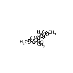 Cc1cc(C)c(-c2ccc(C3=C4C(=O)N(C)C(c5ccc(-c6oc(C)cc6C)s5)=C4C(=O)N3C)s2)o1